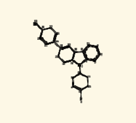 FC1=CCC(N2c3ccccc3C3C=C(C4=CCC(Br)C=C4)CCC32)CC1